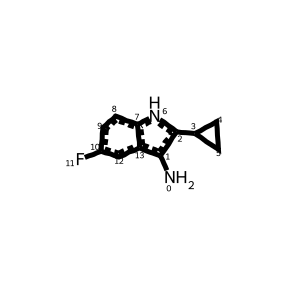 Nc1c(C2CC2)[nH]c2ccc(F)cc12